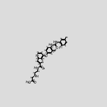 Cc1ccc(F)c(NC(=O)Nc2ccc(Oc3ccnc4cc(C(=O)NCCNCC(=O)O)sc34)cc2F)c1